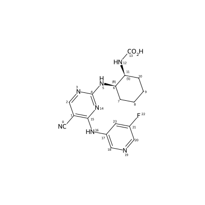 N#Cc1cnc(N[C@@H]2CCCC[C@@H]2NC(=O)O)nc1Nc1cncc(F)c1